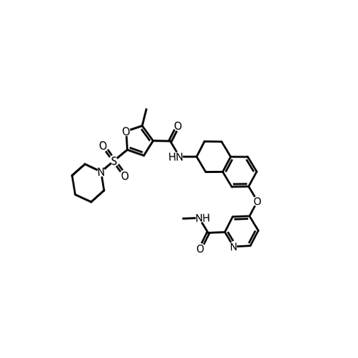 CNC(=O)c1cc(Oc2ccc3c(c2)CC(NC(=O)c2cc(S(=O)(=O)N4CCCCC4)oc2C)CC3)ccn1